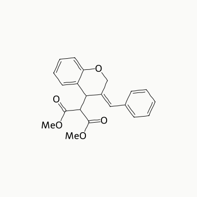 COC(=O)C(C(=O)OC)C1C(=Cc2ccccc2)COc2ccccc21